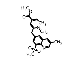 C=N/C(=C\C(=C/C)C(=O)OC)Cc1cc(S(C)(=O)=O)c2ncc(C)cc2c1